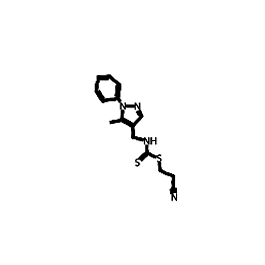 Cc1c(CNC(=S)SCCC#N)cnn1-c1ccccc1